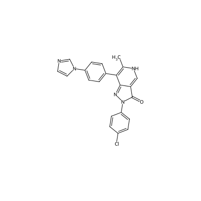 Cc1[nH]cc2c(=O)n(-c3ccc(Cl)cc3)nc-2c1-c1ccc(-n2ccnc2)cc1